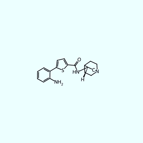 Nc1ccccc1-c1ccc(C(=O)N[C@H]2CN3CCC2CC3)s1